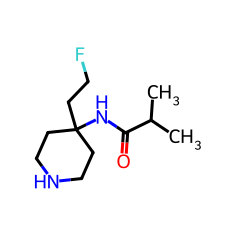 CC(C)C(=O)NC1(CCF)CCNCC1